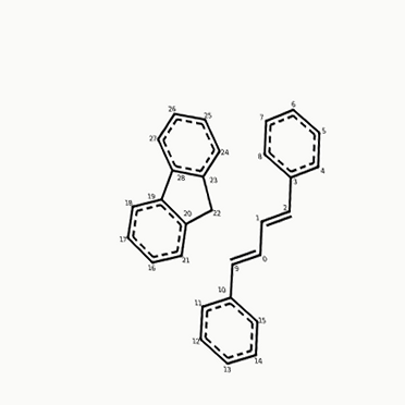 C(/C=C/c1ccccc1)=C\c1ccccc1.c1ccc2c(c1)Cc1ccccc1-2